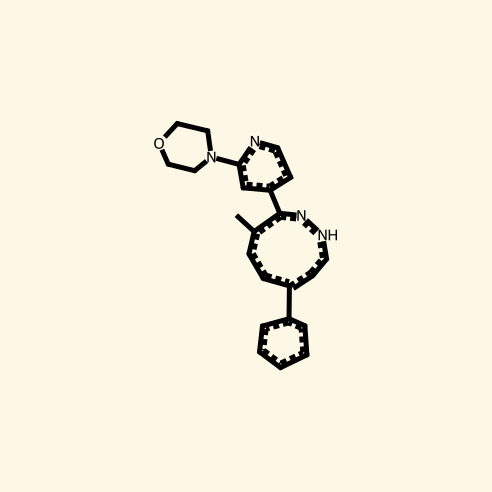 Cc1ccc(-c2ccccc2)cc[nH]nc1-c1ccnc(N2CCOCC2)c1